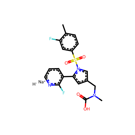 Cc1ccc(S(=O)(=O)n2cc(CN(C)C(=O)O)cc2-c2cccnc2F)cc1F.[H-].[Na+]